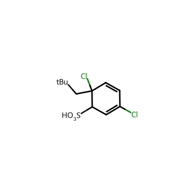 CC(C)(C)CC1(Cl)C=CC(Cl)=CC1S(=O)(=O)O